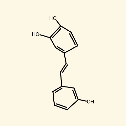 Oc1cccc(C=Cc2ccc(O)c(O)c2)c1